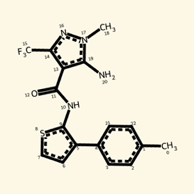 Cc1ccc(-c2ccsc2NC(=O)c2c(C(F)(F)F)nn(C)c2N)cc1